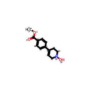 COC(=O)c1ccc(C2=CCN(O)CC2)cc1